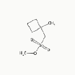 COS(=O)(=O)CC1(C)CCC1